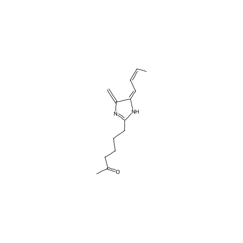 C=c1nc(CCCCC(C)=O)[nH]/c1=C/C=C\C